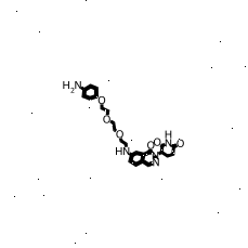 Nc1ccc(OCCOCCOCCNc2ccc3cnn(C4CCC(=O)NC4=O)c(=O)c3c2)cc1